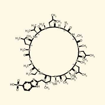 CC[C@@H]1NC(=O)[C@H]([C@H](O)[C@H](C)Cc2nc3cc(S(=O)(=O)O)ccc3[nH]2)N(C)C(=O)[C@H](C(C)C)N(C)C(=O)[C@H](CC(C)C)N(C)C(=O)[C@H](CC(C)C)N(C)C(=O)[C@@H](C)NC(=O)[C@H](C)NC(=O)[C@H](CC(C)C)N(C)C(=O)[C@H](C(C)C)NC(=O)[C@H](CC(C)C)N(C)C(=O)CN(C)C1=O